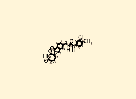 Cc1ccc(NC(=O)NCc2ccc3c(c2)CN([C@H]2CCCC(=O)NC2=O)C3=O)cc1Cl